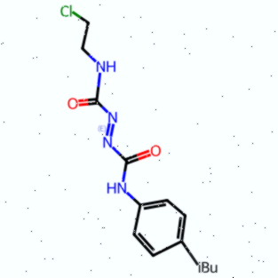 CCC(C)c1ccc(NC(=O)/N=N/C(=O)NCCCl)cc1